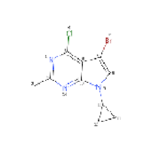 Cc1nc(Cl)c2c(Br)cn(C3CC3)c2n1